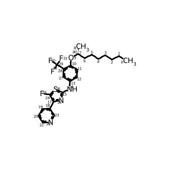 CCCCCCC[C@@H](C)Oc1ccc(Nc2nc(-c3cccnc3)c(F)s2)cc1C(F)(F)F